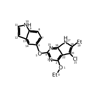 CCOc1nc(Oc2ccc3[nH]ccc3c2)nc2[nH]c(CC)c(Cl)c12